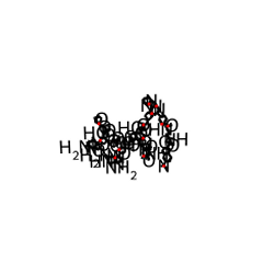 Cc1cn([C@H]2CC(OP(=O)(O)OC[C@H]3O[C@@H](n4cnc5c4N=C(N)NC5N)CC3OP(=O)(O)OC[C@H]3O[C@@H](n4ccc(N)nc4=O)CC3OP(=O)(O)OCc3ccco3)[C@@H](COP(=O)(O)OCC3CC4CC3C3C(c5ccc(C(=O)NCCNS(=O)(=O)c6ccc7cc(N(C)C)ccc7c6)cc5)=NN=C(c5ncccn5)C43)O2)c(=O)[nH]c1=O